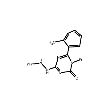 CCCNNc1nc(-c2ccccc2C)n(CC)c(=O)n1